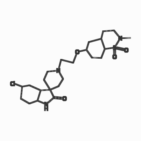 CN1CCC2CC(OCCN3CCC4(CC3)C(=O)NC3CCC(Cl)CC34)CCC2S1(=O)=O